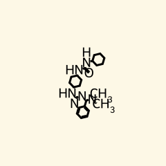 CN(C)c1nc(NC2CCC(NC(=O)NC3CCCCC3)CC2)nc2ccccc12